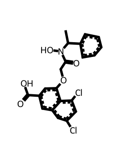 CC(c1ccccc1)N(O)C(=O)COc1cc(C(=O)O)cc2cc(Cl)cc(Cl)c12